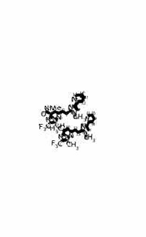 CNC(=O)c1cc(CCc2nc(-c3ccccn3)cn2C)nn2c(C)c(C(F)(F)F)nc12.Cc1cc(CCc2nc(-c3ccccn3)cn2C)nn2c(C)c(C(F)(F)F)nc12